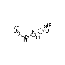 CC(C)(C)OC(=O)N1CC=C(c2ncc(-c3cnn(CCOC4CCCCO4)c3)cc2Cl)CC1